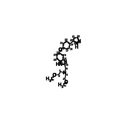 COCCN(CCOC)Cc1nc2cc(Oc3ccc(-c4ccn[nH]4)cc3)ccc2[nH]1